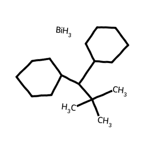 CC(C)(C)C(C1CCCCC1)C1CCCCC1.[BiH3]